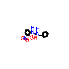 O=C(NCc1ccccc1)Nc1cccc([N+](=O)[O-])c1O